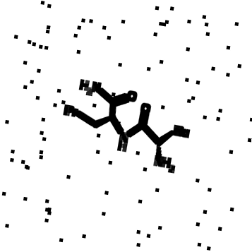 CC[C@H](C)[C@H](N)C(=O)N[C@@H](CC(C)C)C(N)=O